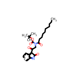 CCCCCCCCCC(=O)N(CC(=O)C1=c2ccccc2=NC1=O)C(=O)OC(C)(C)C